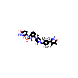 COc1cc(-c2cn(C)c(=O)c(C)c2C)cc(OC)c1CN1C[C@@H]2C[C@H]1CN2c1cccc2c1n(C)c(=O)n2C1CCC(=O)NC1=O